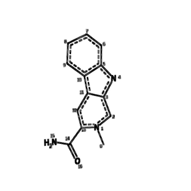 Cn1cc2nc3ccccc3c-2cc1C(N)=O